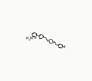 Nc1cccc(-c2ccc(CCN3CCN(CCc4ccc(F)cc4)CC3)cc2)n1